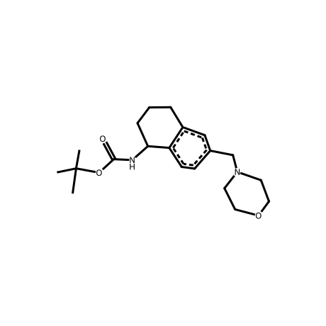 CC(C)(C)OC(=O)NC1CCCc2cc(CN3CCOCC3)ccc21